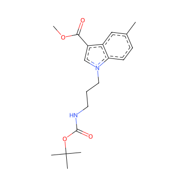 COC(=O)c1cn(CCCNC(=O)OC(C)(C)C)c2ccc(C)cc12